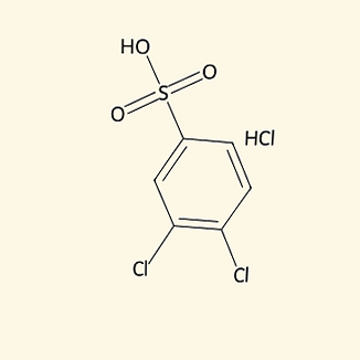 Cl.O=S(=O)(O)c1ccc(Cl)c(Cl)c1